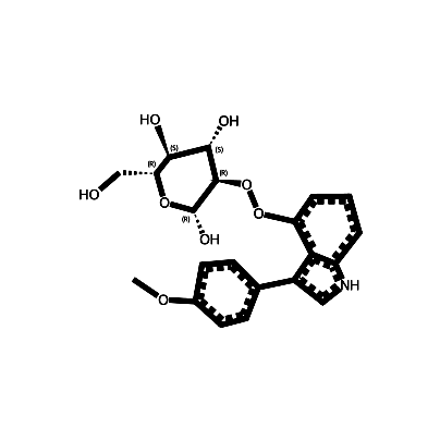 COc1ccc(-c2c[nH]c3cccc(OO[C@@H]4[C@@H](O)[C@H](O)[C@@H](CO)O[C@H]4O)c23)cc1